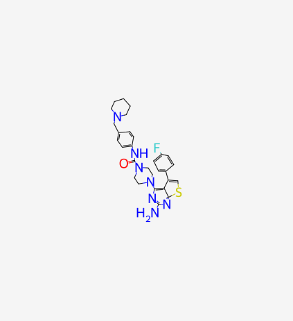 Nc1nc(N2CCN(C(=O)Nc3ccc(CN4CCCCC4)cc3)CC2)c2c(-c3ccc(F)cc3)csc2n1